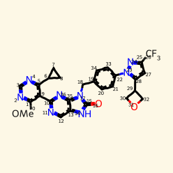 COc1ncnc(C2CC2)c1-c1ncc2[nH]c(=O)n(Cc3ccc(-n4nc(C(F)(F)F)cc4C4COC4)cc3)c2n1